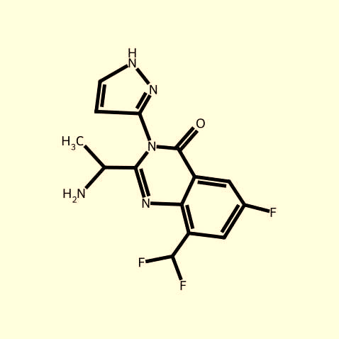 CC(N)c1nc2c(C(F)F)cc(F)cc2c(=O)n1-c1cc[nH]n1